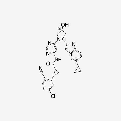 N#Cc1ccc(Cl)cc1C1CC1C(=O)Nc1cc(N2C[C@@H](O)C[C@@H]2c2cn3cc(C4CC4)ccc3n2)ncn1